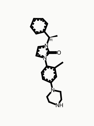 Cc1cc(N2CCNCC2)ccc1-n1ccn([C@H](C)c2ccccc2)c1=O